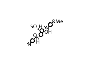 COc1ccc(N=Nc2c(S(=O)(=O)O)cc3cc(NC(=O)c4ccc(N(C)C)cc4)ccc3c2O)cc1